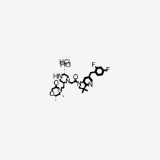 C[C@@H]1CN(CC(=O)N2CC(C)(C)c3ncc(Cc4ccc(F)cc4F)cc32)[C@@H](CN2C(=O)CO[C@@H](C)[C@H]2C)CN1.Cl.Cl